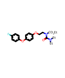 CCOC(=O)N(CCOc1ccc(Oc2ccc(F)cc2)cc1)C(=O)N(CC)CC